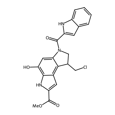 COC(=O)c1cc2c3c(cc(O)c2[nH]1)N(C(=O)c1cc2ccccc2[nH]1)CC3CCl